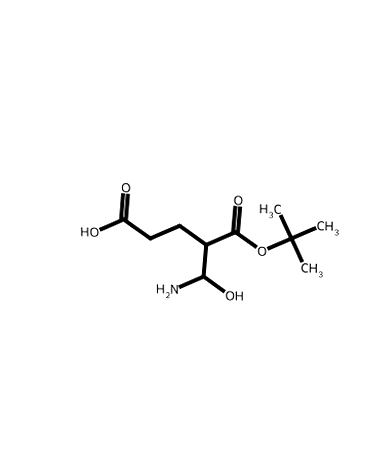 CC(C)(C)OC(=O)C(CCC(=O)O)C(N)O